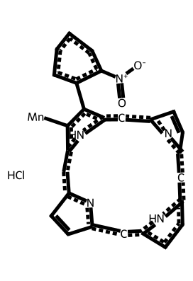 Cl.O=[N+]([O-])c1ccccc1-c1[c]([Mn])c2cc3nc(cc4ccc(cc5nc(cc1[nH]2)C=C5)[nH]4)C=C3